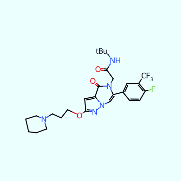 CC(C)(C)NC(=O)Cn1c(-c2ccc(F)c(C(F)(F)F)c2)cn2nc(OCCCN3CCCCC3)cc2c1=O